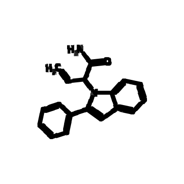 C=CC(C(N)=O)n1c(-c2ccccc2)cc2ccccc21